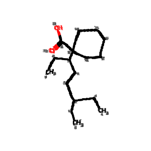 CCC(CC)CCC(CC)C1(C(=O)O)CCCCC1